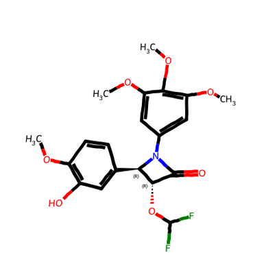 COc1ccc([C@@H]2[C@@H](OC(F)F)C(=O)N2c2cc(OC)c(OC)c(OC)c2)cc1O